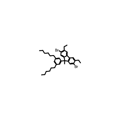 CCCCCCc1cc(CCCCCC)cc(C2(C)c3cc(Br)c(CC)cc3-c3cc(CC)c(Br)cc32)c1